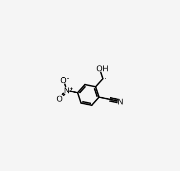 N#Cc1ccc([N+](=O)[O-])cc1[CH]O